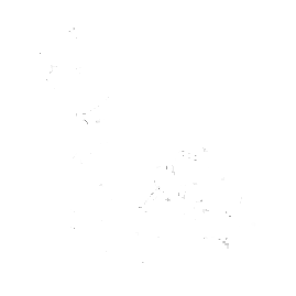 N#Cc1cnn2cc(OCN3CCC4(CC3)OCCO4)cc(-c3ccc(N4CC5CC(C4)N5Cc4cccnc4)nc3)c12